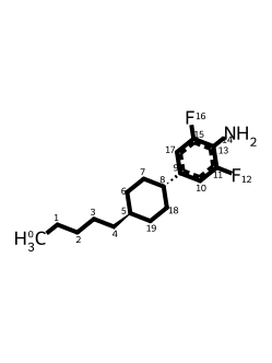 CCCCC[C@H]1CC[C@H](c2cc(F)c(N)c(F)c2)CC1